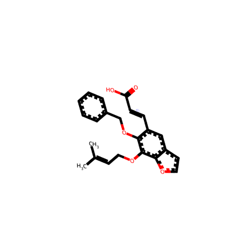 CC(C)=CCOc1c(OCc2ccccc2)c(/C=C/C(=O)O)cc2ccoc12